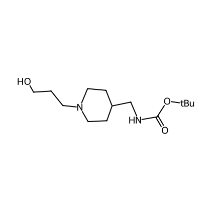 CC(C)(C)OC(=O)NCC1CCN(CCCO)CC1